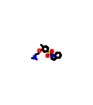 Cc1ccc(S(=O)(=O)n2ccc3ccccc32)cc1OCCN(C)C